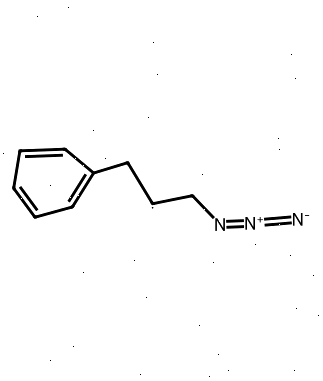 [N-]=[N+]=NC[CH]Cc1ccccc1